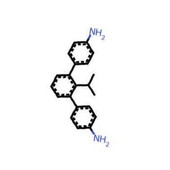 CC(C)c1c(-c2ccc(N)cc2)cccc1-c1ccc(N)cc1